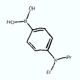 CCN(c1ccc(B(O)O)cc1)C(C)C